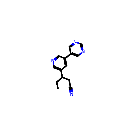 CCC(CC#N)c1cncc(-c2cncnc2)c1